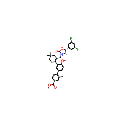 COC(=O)c1ccc(-c2ccc(OC)c(C3=C(CN4C(=O)O[C@H](c5cc(F)cc(F)c5)[C@@H]4C)CC(C)(C)CC3)c2)c(C)c1